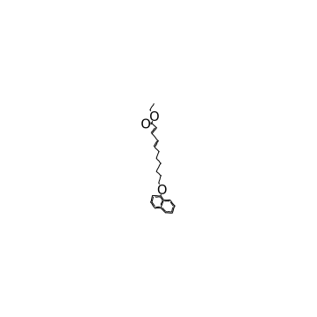 CCOC(=O)/C=C/C=C/CCCCCCOc1cccc2ccccc12